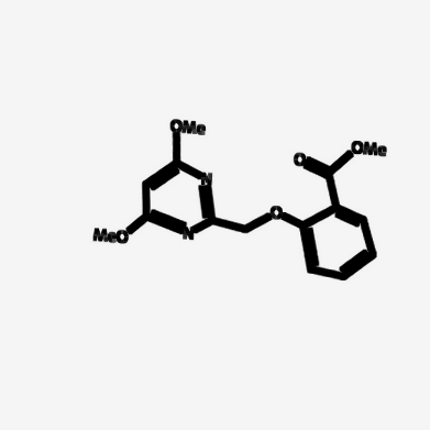 COC(=O)c1ccccc1OCc1nc(OC)cc(OC)n1